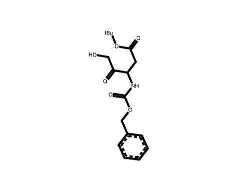 CC(C)(C)OC(=O)CC(NC(=O)OCc1ccccc1)C(=O)CO